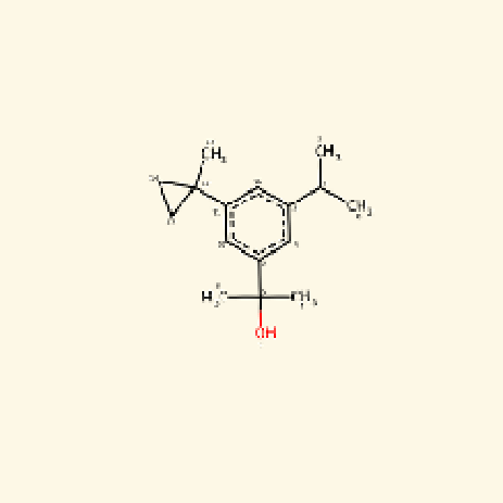 CC(C)c1cc(C(C)(C)O)cc(C2(C)CC2)c1